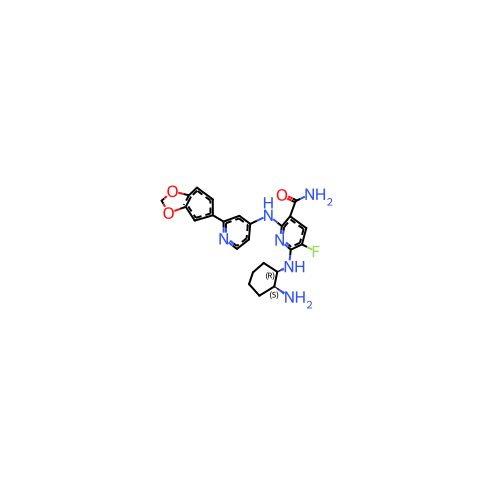 NC(=O)c1cc(F)c(N[C@@H]2CCCC[C@@H]2N)nc1Nc1ccnc(-c2ccc3c(c2)OCO3)c1